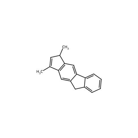 CC1=CC(C)c2cc3c(cc21)Cc1ccccc1-3